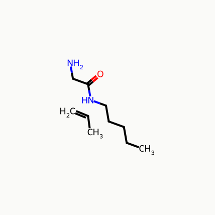 C=CC.CCCCCNC(=O)CN